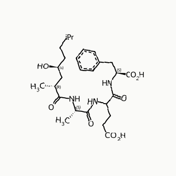 CC(C)CC[C@H](O)C[C@@H](C)C(=O)N[C@@H](C)C(=O)NC(CCC(=O)O)C(=O)N[C@@H](Cc1ccccc1)C(=O)O